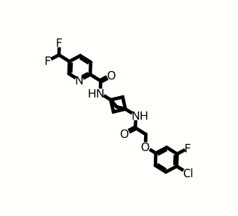 O=C(COc1ccc(Cl)c(F)c1)NC12CC(NC(=O)c3ccc(C(F)F)cn3)(C1)C2